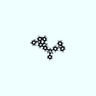 c1ccc(-c2nc(-c3ccc(-n4c5ccccc5c5ccccc54)cc3)cc(-c3ccc4c(c3)nc(-c3ccccc3)c3c4ccc4c3c3ccccc3n4-c3ccccc3)n2)cc1